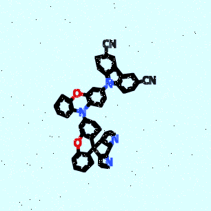 N#Cc1ccc2c(c1)c1cc(C#N)ccc1n2-c1ccc2c(c1)Oc1ccccc1N2c1ccc2c(c1)Oc1ccccc1C21c2cccnc2-c2ncccc21